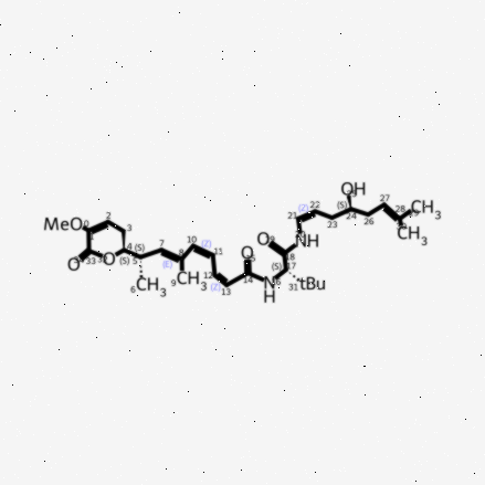 COC1=CC[C@@H]([C@@H](C)/C=C(C)/C=C\C=C/C(=O)N[C@H](C(=O)N/C=C\C[C@@H](O)CC=C(C)C)C(C)(C)C)OC1=O